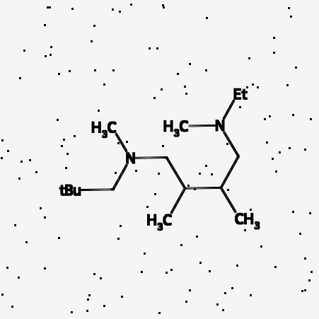 CCN(C)CC(C)C(C)CN(C)CC(C)(C)C